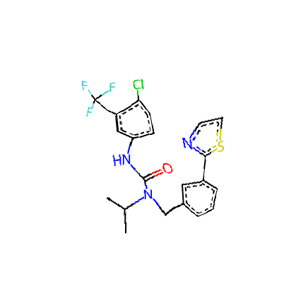 CC(C)N(Cc1cccc(-c2nccs2)c1)C(=O)Nc1ccc(Cl)c(C(F)(F)F)c1